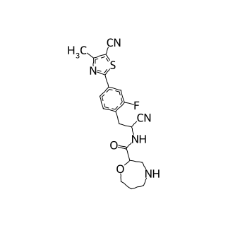 Cc1nc(-c2ccc(CC(C#N)NC(=O)C3CNCCCO3)c(F)c2)sc1C#N